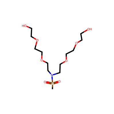 CS(=O)(=O)N(CCOCCOCCO)CCOCCOCCO